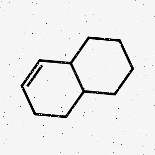 C1=CC2CCCC[C]2CC1